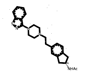 CC(=O)N[C@H]1Cc2ccc(CCN3CCN(c4nsc5ccccc45)CC3)cc2C1